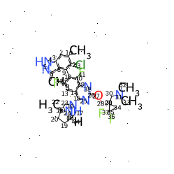 Cc1cc2[nH]nc(C)c2c(-c2c(F)cc3c(N4C[C@H]5CC[C@](C)(C4)N5)nc(OC[C@]4(CN(C)C)CC4(F)F)nc3c2F)c1Cl